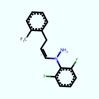 NN(/C=C\Cc1ccccc1C(F)(F)F)c1c(F)cccc1F